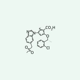 C[C@@H](Oc1cc(-n2cnc3ccc(CS(C)(=O)=O)cc32)sc1C(=O)O)c1ccccc1Cl